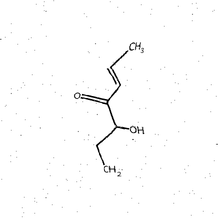 [CH2]CC(O)C(=O)C=CC